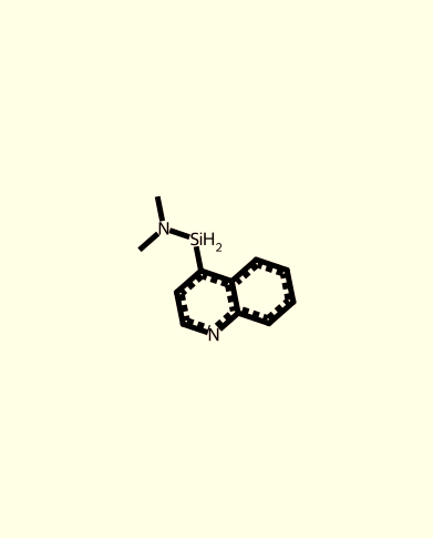 CN(C)[SiH2]c1ccnc2ccccc12